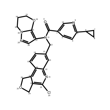 O=C(c1ccc(C2CC2)nc1)N(Cc1ccc2c3c(c(Cl)nc2c1)COC3)c1cnn2c1OCCC2